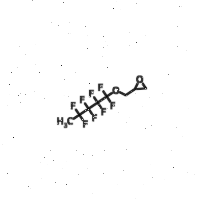 CC(F)(F)C(F)(F)C(F)(F)C(F)(F)OCC1CO1